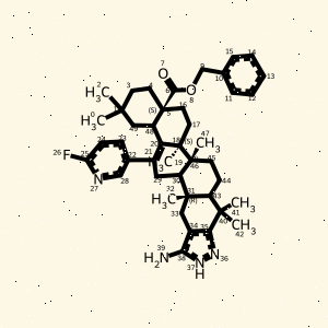 CC1(C)CC[C@]2(C(=O)OCc3ccccc3)CC[C@]3(C)C(=C(c4ccc(F)nc4)CC4[C@@]5(C)Cc6c(n[nH]c6N)C(C)(C)C5CC[C@]43C)C2C1